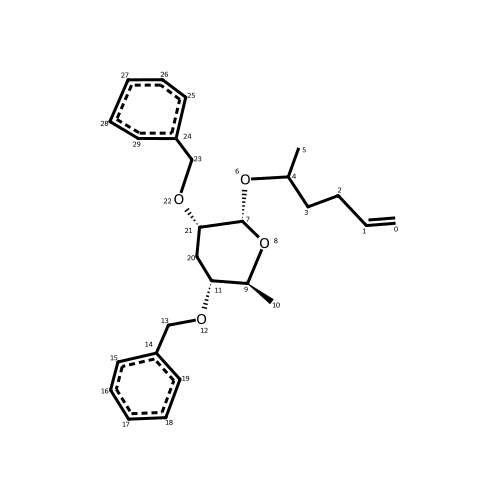 C=CCCC(C)O[C@@H]1O[C@@H](C)[C@H](OCc2ccccc2)C[C@@H]1OCc1ccccc1